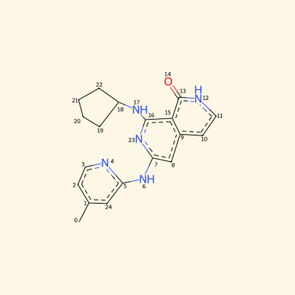 Cc1ccnc(Nc2cc3cc[nH]c(=O)c3c(NC3CCCC3)n2)c1